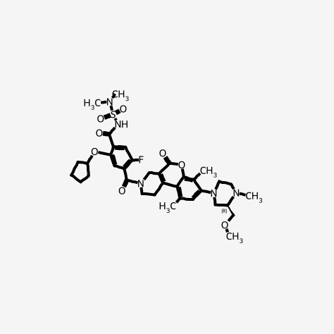 COC[C@H]1CN(c2cc(C)c3c4c(c(=O)oc3c2C)CN(C(=O)c2cc(OC3CCCC3)c(C(=O)NS(=O)(=O)N(C)C)cc2F)CC4)CCN1C